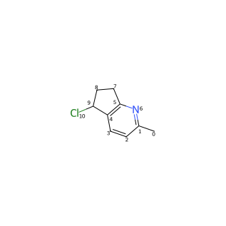 Cc1ccc2c(n1)CCC2Cl